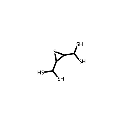 SC(S)C1SC1C(S)S